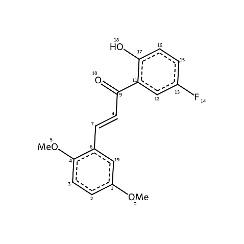 COc1ccc(OC)c(C=CC(=O)c2cc(F)ccc2O)c1